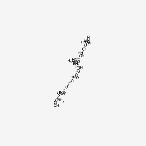 CC(C)[C@H](NC(=O)CCCC(=O)NCc1ccc(COc2[nH]nc3[nH]cnc23)cc1)C(=O)NCC(=O)Nc1ccc(COC(=O)NCCOCCOCCOCCOC(=O)NNC(=O)CC[C@@H](N)Cc2ccc(O)cc2)cc1